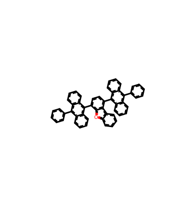 c1ccc(-c2c3ccccc3c(-c3ccc(-c4c5ccccc5c(-c5ccccc5)c5ccccc45)c4c3oc3ccccc34)c3ccccc23)cc1